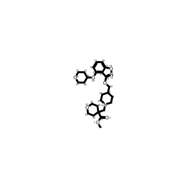 COC(=O)C1(CN2CCC(COc3noc4cccc(OC5CCOCC5)c34)CC2)CCOCC1